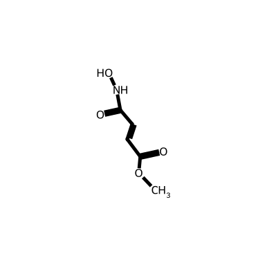 COC(=O)/C=C/C(=O)NO